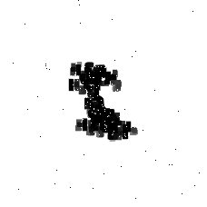 C[C@H]1Cn2nc(OCC(C)(C)S(C)(=O)=O)cc2-c2cnc(C(C)(O)C(F)(F)F)n21